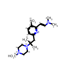 CN(C)/C=C/c1nc(CC(C)(C)N2CCN(C(=O)O)CC2)ccc1[N+](=O)[O-]